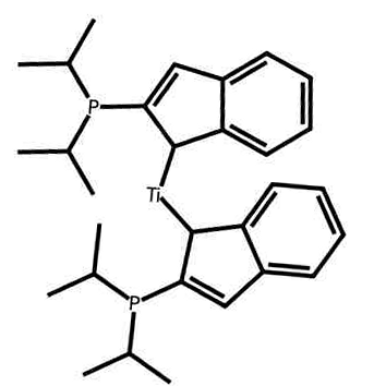 CC(C)P(C1=Cc2ccccc2[CH]1[Ti][CH]1C(P(C(C)C)C(C)C)=Cc2ccccc21)C(C)C